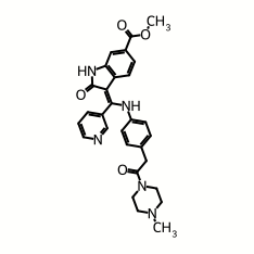 COC(=O)c1ccc2c(c1)NC(=O)C2=C(Nc1ccc(CC(=O)N2CCN(C)CC2)cc1)c1cccnc1